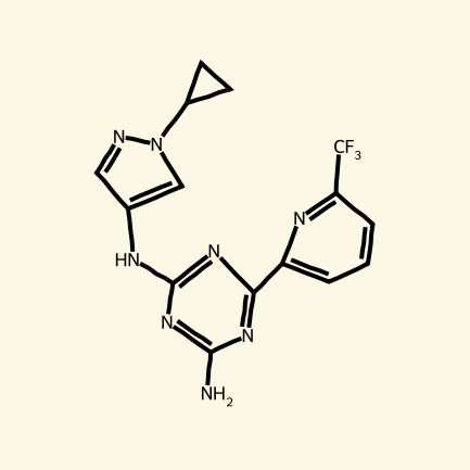 Nc1nc(Nc2cnn(C3CC3)c2)nc(-c2cccc(C(F)(F)F)n2)n1